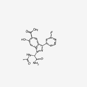 CC(=O)NC(C(N)=O)n1nc(-c2cccc(F)c2)c2cc(C(=O)O)c(O)cc21